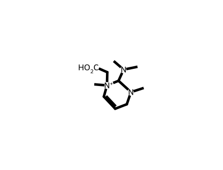 CN(C)C1N(C)CC=C[N+]1(C)CC(=O)O